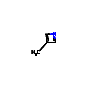 CC1=CN=C1